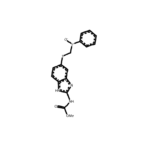 COC(=O)Nc1nc2cc(SC[S+]([O-])c3ccccc3)ccc2[nH]1